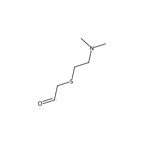 CN(C)CCSC[C]=O